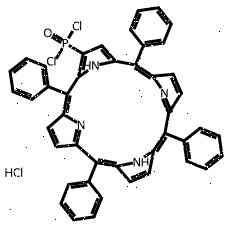 Cl.O=P(Cl)(Cl)c1cc2[nH]c1c(-c1ccccc1)c1nc(c(-c3ccccc3)c3ccc([nH]3)c(-c3ccccc3)c3nc(c2-c2ccccc2)C=C3)C=C1